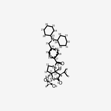 CC(C)[C@H]1C(=O)N(S(C)(=O)=O)[C@H]2CCN(C(=O)c3cnc(CN(C4CCCCC4)C4CCCCC4)cn3)[C@H]12